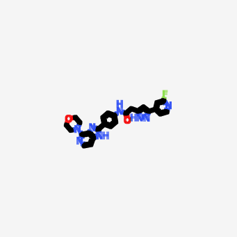 O=C(Cc1cc(-c2ccnc(F)c2)n[nH]1)Nc1ccc(-c2nc3c(N4CCOCC4)nccc3[nH]2)cc1